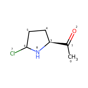 CC(=O)[C@@H]1CCC(Cl)N1